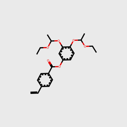 C=Cc1ccc(C(=O)Oc2ccc(OC(C)OCC)c(OC(C)OCC)c2)cc1